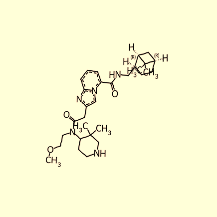 COCCN(C(=O)Cc1cn2c(C(=O)NC[C@@H]3CC[C@@H]4C[C@H]3C4(C)C)cccc2n1)C1CCNCC1(C)C